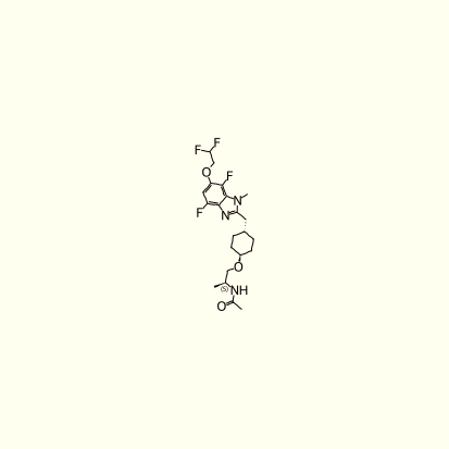 CC(=O)N[C@@H](C)CO[C@H]1CC[C@H](Cc2nc3c(F)cc(OCC(F)F)c(F)c3n2C)CC1